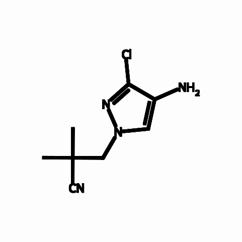 CC(C)(C#N)Cn1cc(N)c(Cl)n1